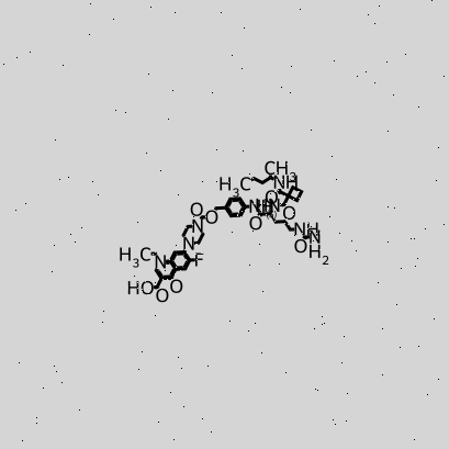 CCCC(C)NC(=O)C1(C(=O)N[C@@H](CCCNC(N)=O)C(=O)Nc2ccc(COC(=O)N3CCN(c4cc5c(cc4F)c(=O)c(C(=O)O)cn5CC)CC3)cc2)CCC1